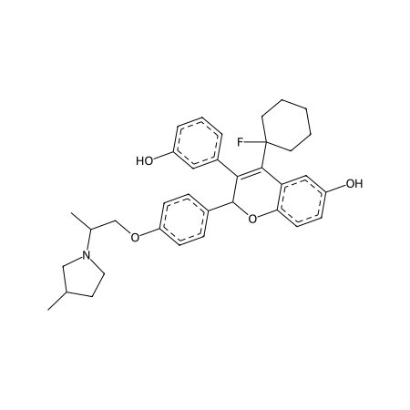 CC1CCN(C(C)COc2ccc(C3Oc4ccc(O)cc4C(C4(F)CCCCC4)=C3c3cccc(O)c3)cc2)C1